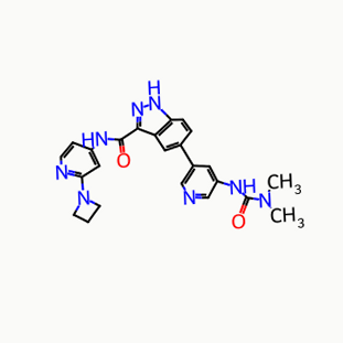 CN(C)C(=O)Nc1cncc(-c2ccc3[nH]nc(C(=O)Nc4ccnc(N5CCC5)c4)c3c2)c1